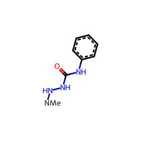 CNNNC(=O)Nc1ccccc1